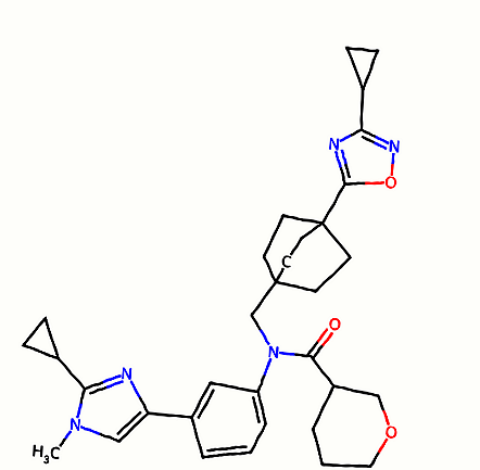 Cn1cc(-c2cccc(N(CC34CCC(c5nc(C6CC6)no5)(CC3)CC4)C(=O)C3CCCOC3)c2)nc1C1CC1